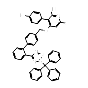 Cc1cc(OCc2ccc(-c3ccccc3-c3nnn(C(c4ccccc4)(c4ccccc4)c4ccccc4)n3)cc2)c(-c2ccc(C#N)cc2)c(C)n1